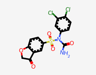 NC(=O)N(c1ccc(Cl)c(Cl)c1)S(=O)(=O)c1ccc2c(c1)C(=O)CO2